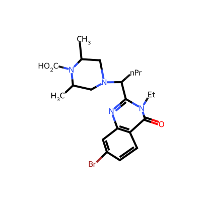 CCCC(c1nc2cc(Br)ccc2c(=O)n1CC)N1CC(C)N(C(=O)O)C(C)C1